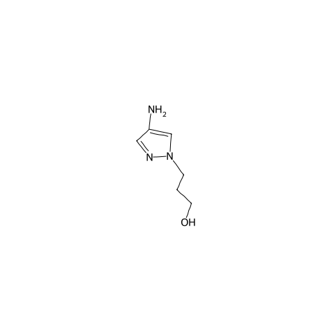 Nc1cnn(CCCO)c1